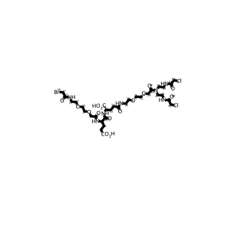 O=C(O)CCC(NC(=O)COCCOCCNC(=O)CBr)C(=O)N[C@@H](CCC(=O)NCCOCCOCC(=O)N(CCNC(=O)CCl)CCNC(=O)CCl)C(=O)O